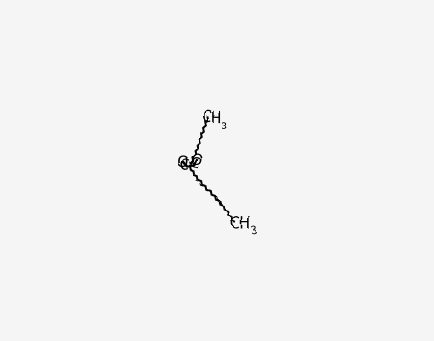 CCCCCCCCCCCCCCCCCCCCCCC(C=C=O)(C=C=O)CCCCCCCCCCCCCCCCC